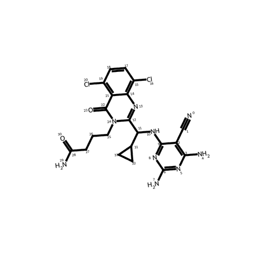 N#Cc1c(N)nc(N)nc1NC(c1nc2c(Cl)ccc(Cl)c2c(=O)n1CCCC(N)=O)C1CC1